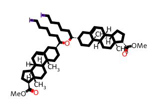 COC(=O)[C@H]1CC[C@H]2[C@@H]3CC=C4C[C@@H](C(CCCCCI)OC(CCCCCI)[C@H]5CC[C@@]6(C)C(=CC[C@H]7[C@@H]8CC[C@H](C(=O)OC)[C@@]8(C)CC[C@@H]76)C5)CC[C@]4(C)[C@H]3CC[C@]12C